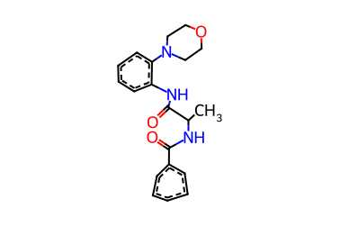 CC(NC(=O)c1ccccc1)C(=O)Nc1ccccc1N1CCOCC1